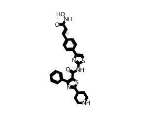 O=C(/C=C/c1ccc(-c2csc(NC(=O)c3sc(C4CCNCC4)nc3-c3ccccc3)n2)cc1)NO